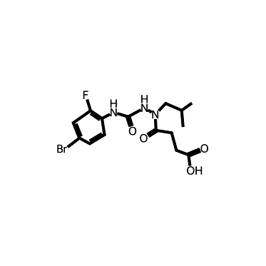 CC(C)CN(NC(=O)Nc1ccc(Br)cc1F)C(=O)CCC(=O)O